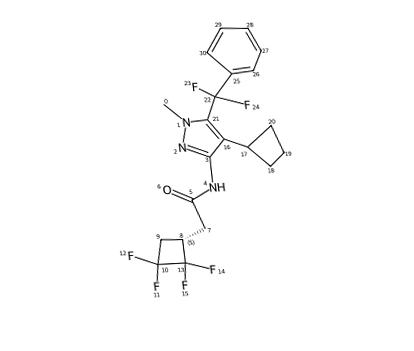 Cn1nc(NC(=O)C[C@H]2CC(F)(F)C2(F)F)c(C2CCC2)c1C(F)(F)c1ccccc1